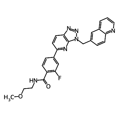 COCCNC(=O)c1ccc(-c2ccc3nnn(Cc4ccc5ncccc5c4)c3n2)cc1F